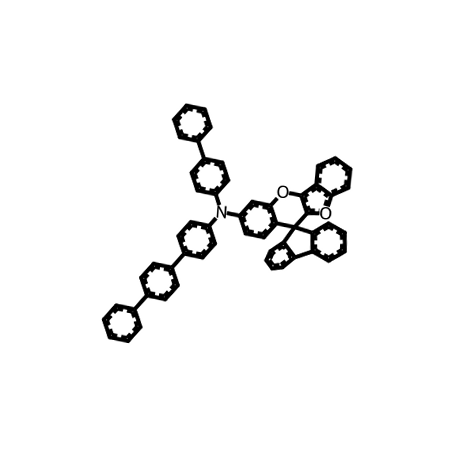 c1ccc(-c2ccc(-c3ccc(N(c4ccc(-c5ccccc5)cc4)c4ccc5c(c4)Oc4c(oc6ccccc46)C54c5ccccc5-c5ccccc54)cc3)cc2)cc1